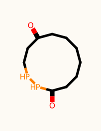 O=C1CCCCCCC(=O)PPCC1